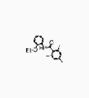 CCOc1ccccc1PC(=O)c1c(C)cc(C)cc1C